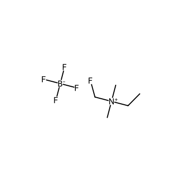 CC[N+](C)(C)CF.F[B-](F)(F)F